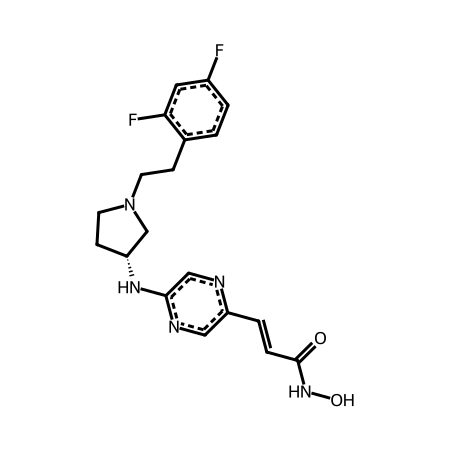 O=C(/C=C/c1cnc(N[C@@H]2CCN(CCc3ccc(F)cc3F)C2)cn1)NO